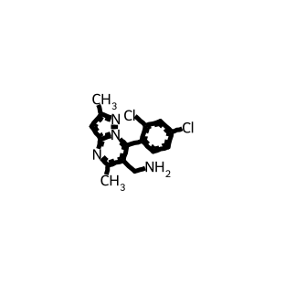 Cc1cc2nc(C)c(CN)c(-c3ccc(Cl)cc3Cl)n2n1